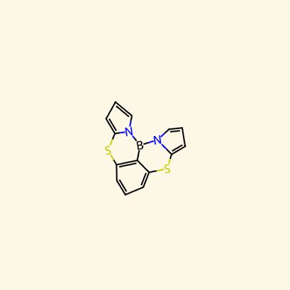 c1cc2c3c(c1)Sc1cccn1B3n1cccc1S2